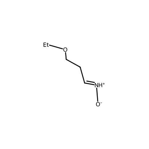 CCOCCC=[NH+][O-]